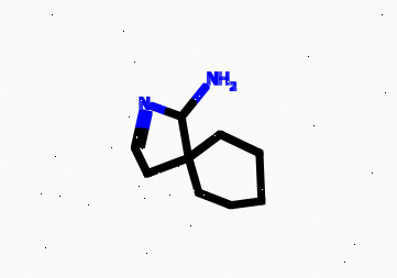 NC1N=CCC12CCCCC2